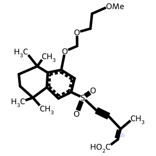 COCCOCOc1cc(S(=O)(=O)C#C/C(C)=C\C(=O)O)cc2c1C(C)(C)CCC2(C)C